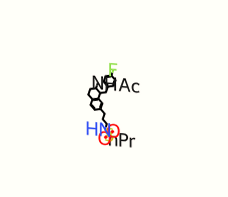 CCCS(=O)(=O)NCCCc1ccc2c(c1)C(Cc1ccc(F)cc1)C(NC(C)=O)CC2